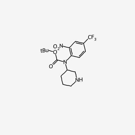 CC(C)(C)OC(=O)N(c1ccc(C(F)(F)F)cc1[N+](=O)[O-])C1CCCNC1